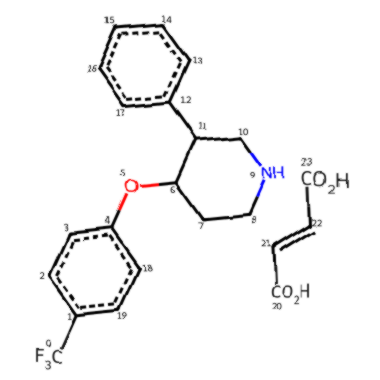 FC(F)(F)c1ccc(OC2CCNCC2c2ccccc2)cc1.O=C(O)C=CC(=O)O